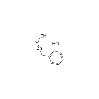 C[O][Zn][CH2]c1ccccc1.Cl